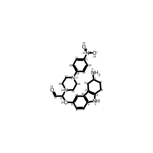 NC1CCc2[nH]c3ccc(OC(C=O)N4CCN(c5ccc([N+](=O)[O-])cc5)CC4)cc3c2C1